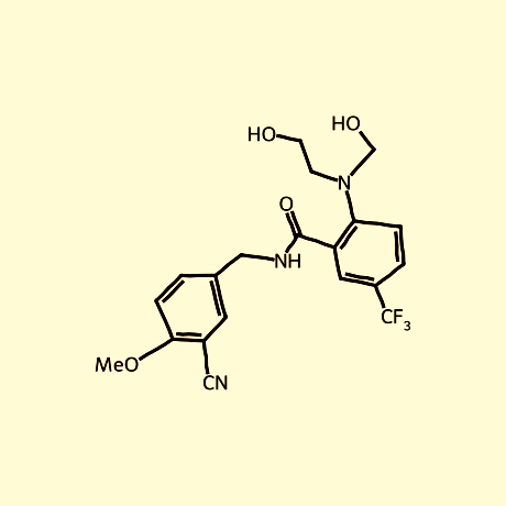 COc1ccc(CNC(=O)c2cc(C(F)(F)F)ccc2N(CO)CCO)cc1C#N